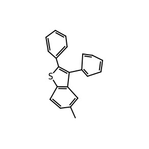 Cc1ccc2sc(-c3ccccc3)c(-c3ccccc3)c2c1